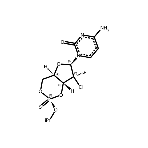 CC(C)O[P@@]1(=S)OC[C@H]2O[C@@H](n3ccc(N)nc3=O)[C@@](F)(Cl)[C@@H]2O1